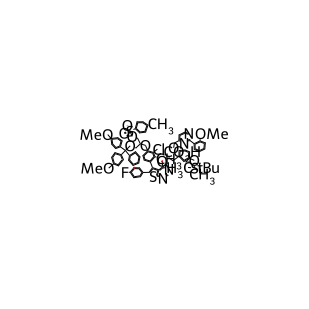 COc1ccc(C(OCC(COS(=O)(=O)c2ccc(C)cc2)Oc2ccc(-c3c(-c4ccc(F)cc4)sc4ncnc(OC(Cc5cc(O[Si](C)(C)C(C)(C)C)ccc5OCc5ccnc(-c6ccccc6OC)n5)C(=O)O)c34)c(C)c2Cl)(c2ccccc2)c2ccc(OC)cc2)cc1